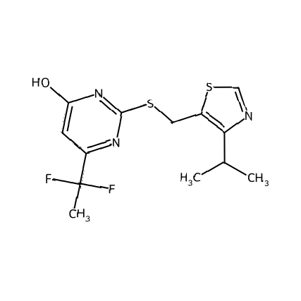 CC(C)c1ncsc1CSc1nc(O)cc(C(C)(F)F)n1